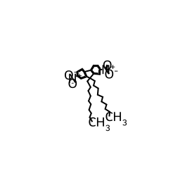 CCCCCCCCCCC1(CCCCCCCCCC)c2cc([N+](=O)[O-])ccc2-c2ccc([N+](=O)[O-])cc21